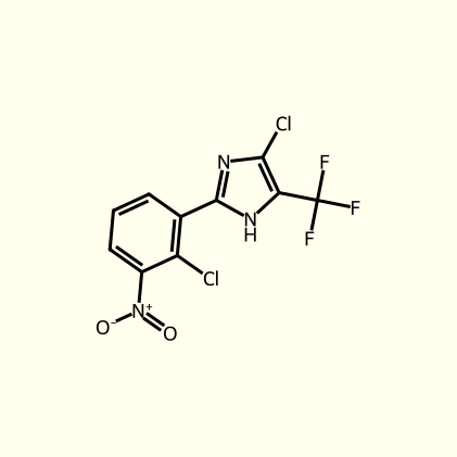 O=[N+]([O-])c1cccc(-c2nc(Cl)c(C(F)(F)F)[nH]2)c1Cl